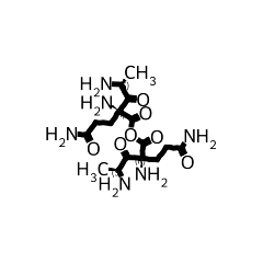 C[C@H](N)C(=O)[C@](N)(CCC(N)=O)C(=O)OC(=O)[C@@](N)(CCC(N)=O)C(=O)[C@H](C)N